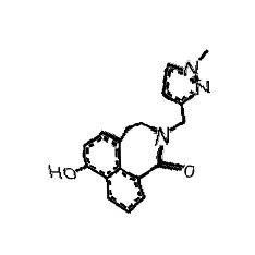 Cn1ccc(CN2Cc3ccc(O)c4cccc(c34)C2=O)n1